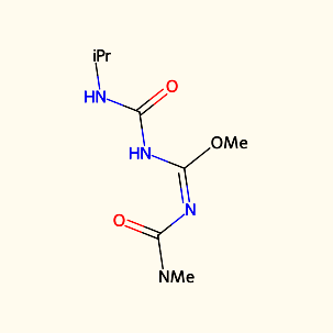 CNC(=O)N=C(NC(=O)NC(C)C)OC